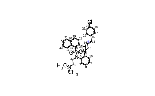 CN(C)CCN(c1ccccc1NC/C=C/c1ccc(Cl)cc1)S(=O)(=O)c1cccc2cnccc12